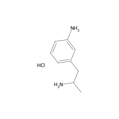 CC(N)Cc1cccc(N)c1.Cl